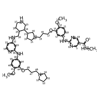 CNC(=O)c1cnc(Nc2ccc(OC)c(OCCCN3CCC(C4CNCCC4CNc4ccnc(Nc5ccc(OC)c(OCCCN6CCCC6)c5)c4)C3)c2)nc1